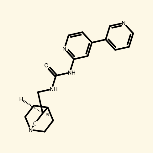 O=C(NC[C@@H]1CN2CCC1CC2)Nc1cc(-c2cccnc2)ccn1